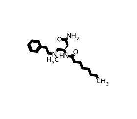 CCCCCCCC(=O)N[C@H](CC(N)=O)CN(C)CCc1ccccc1